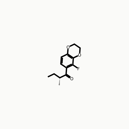 CC[C@@H](C)C(=O)c1ccc2c(c1F)OCCO2